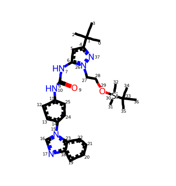 CC(C)(C)c1cc(NC(=O)Nc2ccc(-n3cnc4ccccc43)cc2)n(CCO[Si](C)(C)C(C)(C)C)n1